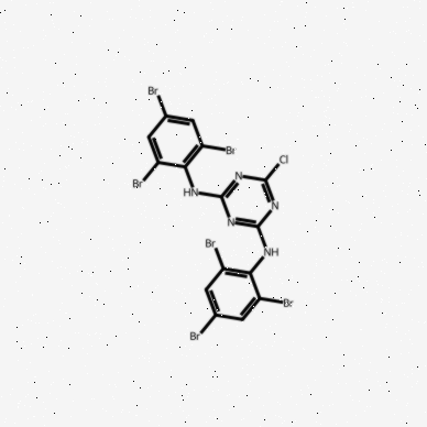 Clc1nc(Nc2c(Br)cc(Br)cc2Br)nc(Nc2c(Br)cc(Br)cc2Br)n1